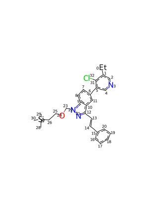 CCc1cncc(-c2ccc3c(c2)c(C=Cc2ccccc2)nn3COCC[Si](C)(C)C)c1Cl